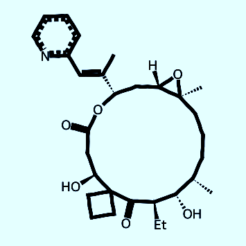 CC[C@H]1C(=O)C2(CCC2)[C@@H](O)CC(=O)O[C@H](C(C)=Cc2ccccn2)C[C@@H]2O[C@@]2(C)CCC[C@H](C)[C@@H]1O